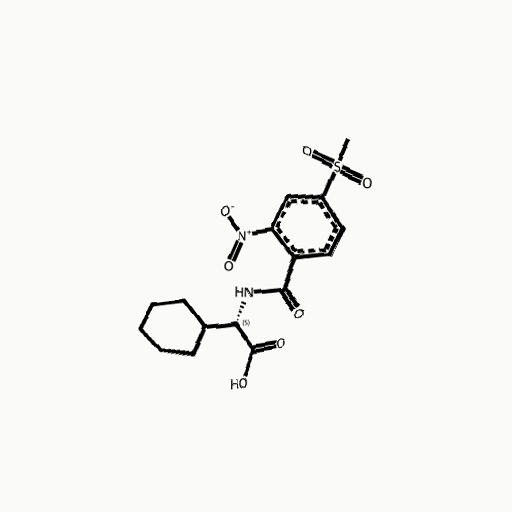 CS(=O)(=O)c1ccc(C(=O)N[C@H](C(=O)O)C2CCCCC2)c([N+](=O)[O-])c1